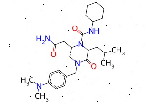 CC(C)CC1C(=O)N(Cc2ccc(N(C)C)cc2)CC(CC(N)=O)N1C(=O)NC1CCCCC1